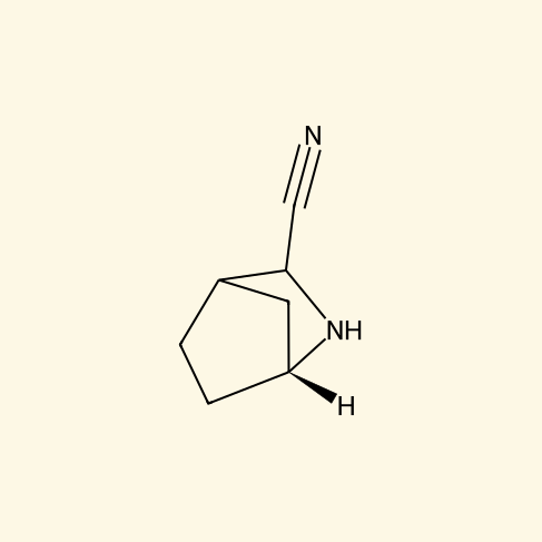 N#CC1N[C@@H]2CCC1C2